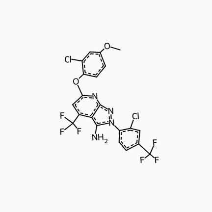 COc1ccc(Oc2cc(C(F)(F)F)c3c(N)n(-c4ccc(C(F)(F)F)cc4Cl)nc3n2)c(Cl)c1